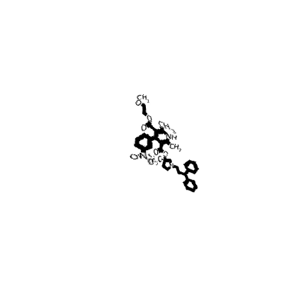 COCCOC(=O)C1=C(C)NC(C)=C(C(=O)O[C@]2(C)CCN(CCC(c3ccccc3)c3ccccc3)C2)C1c1cccc([N+](=O)[O-])c1